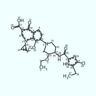 CCO[C@H]1CN(c2ccc3c(=O)c(C(=O)O)cn(C4CC4)c3c2OC)CC[C@H]1NC(=O)c1nc(Cl)c(CC)[nH]1